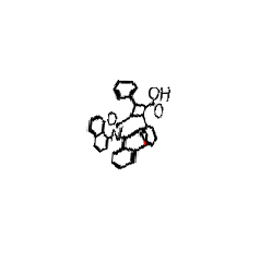 O=C(O)C1C(c2ccccc2)C(C(=O)N(c2cccc3ccccc23)c2cccc3ccccc23)C1c1ccccc1